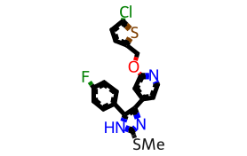 CSc1nc(-c2ccnc(OCc3ccc(Cl)s3)c2)c(-c2ccc(F)cc2)[nH]1